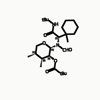 C[C@H]1[C@H](OC(=O)C(C)(C)C)[C@@H](N(C=O)[C@H](C(=O)NC(C)(C)C)C2(C)CCCCC2)OC[C@H]1C